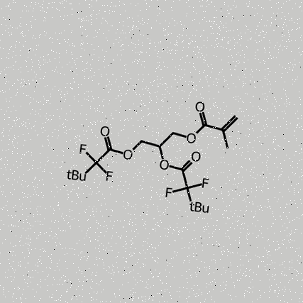 C=C(C)C(=O)OCC(COC(=O)C(F)(F)C(C)(C)C)OC(=O)C(F)(F)C(C)(C)C